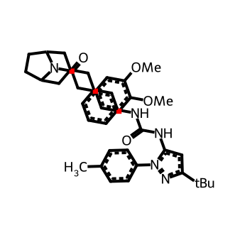 COc1ccc(CC(=O)N2C3CCC2CC(Cc2cccc(NC(=O)Nc4cc(C(C)(C)C)nn4-c4ccc(C)cc4)c2)C3)cc1OC